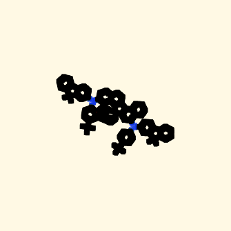 CC(C)(C)c1ccc(N(c2ccc3c(c2)C(C)(C)c2ccccc2-3)c2ccc3ccc4c(c3c2)C2(c3cc(N(c5ccc(C(C)(C)C)cc5)c5ccc6c(c5)C(C)(C)c5ccccc5-6)c5ccccc5c3-4)C3CC4CC(C3)CC2C4)cc1